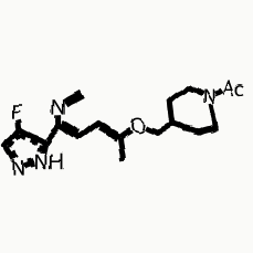 C=N/C(=C\C=C(/C)OCC1CCN(C(C)=O)CC1)c1[nH]ncc1F